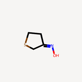 ON=C1CCSC1